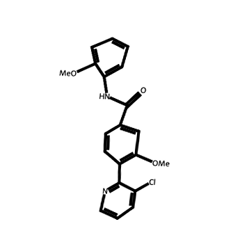 COc1ccccc1NC(=O)c1ccc(-c2ncccc2Cl)c(OC)c1